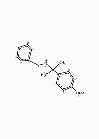 COc1ccc(C(C)(C)NCc2ccccc2)cc1